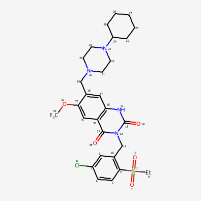 CCS(=O)(=O)c1ccc(Cl)cc1Cn1c(=O)[nH]c2cc(CN3CCN(C4CCCCC4)CC3)c(OC(F)(F)F)cc2c1=O